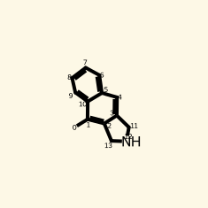 Cc1c2c(cc3ccccc13)CNC2